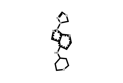 C1=NN(n2ncc3c(NC4CCOCC4)ccnc32)CO1